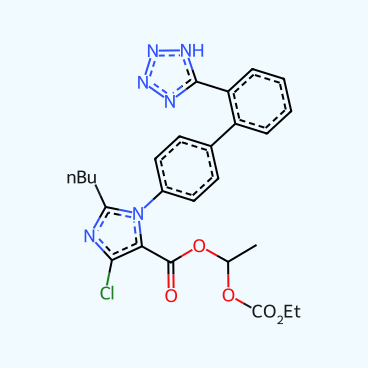 CCCCc1nc(Cl)c(C(=O)OC(C)OC(=O)OCC)n1-c1ccc(-c2ccccc2-c2nnn[nH]2)cc1